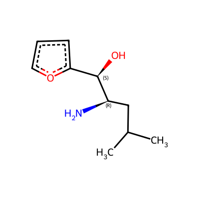 CC(C)C[C@@H](N)[C@H](O)c1ccco1